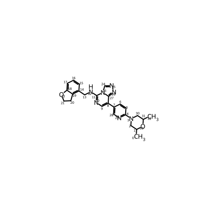 CC1CN(c2ccc(-c3cnc(NCc4cccc5c4CCO5)n4cnnc34)cn2)CC(C)O1